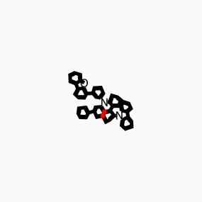 c1ccc(-c2cccc(N(c3cccc(-c4cccc5c4oc4ccccc45)c3)c3ccccc3-c3ccccc3-n3c4ccccc4c4ccccc43)c2)cc1